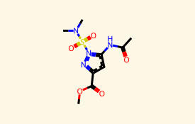 COC(=O)c1cc(NC(C)=O)n(S(=O)(=O)N(C)C)n1